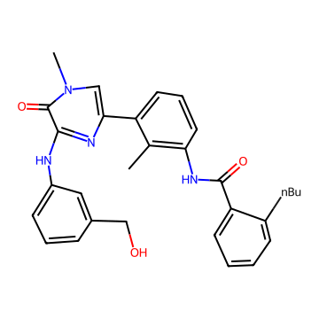 CCCCc1ccccc1C(=O)Nc1cccc(-c2cn(C)c(=O)c(Nc3cccc(CO)c3)n2)c1C